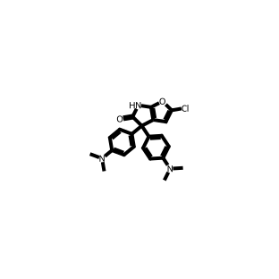 CN(C)c1ccc(C2(c3ccc(N(C)C)cc3)C(=O)Nc3oc(Cl)cc32)cc1